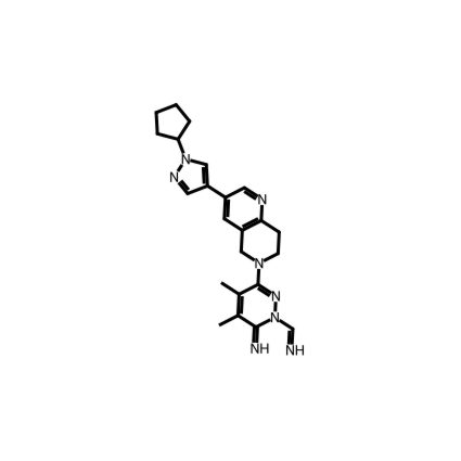 Cc1c(N2CCc3ncc(-c4cnn(C5CCCC5)c4)cc3C2)nn(C=N)c(=N)c1C